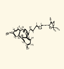 CC1(C)OCC(COCCCn2c3ccc(Br)cc3c3cc(Br)ccc32)O1